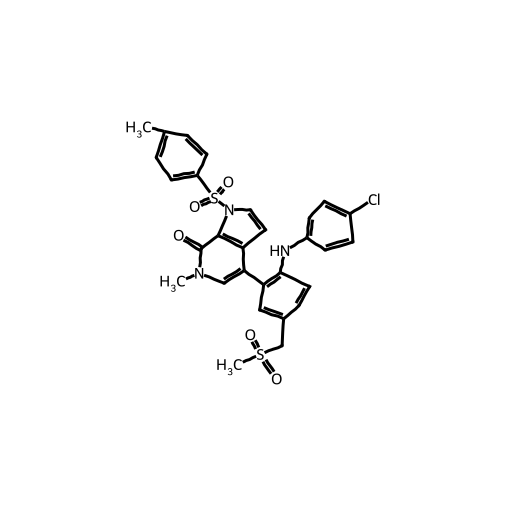 Cc1ccc(S(=O)(=O)n2ccc3c(-c4cc(CS(C)(=O)=O)ccc4Nc4ccc(Cl)cc4)cn(C)c(=O)c32)cc1